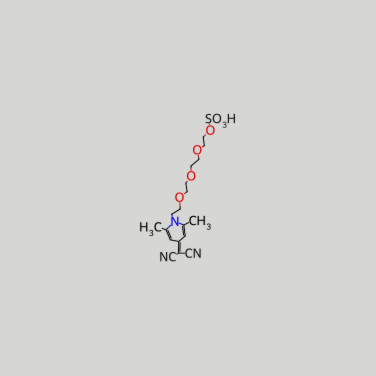 CC1=CC(=C(C#N)C#N)C=C(C)N1CCOCCOCCOCCOS(=O)(=O)O